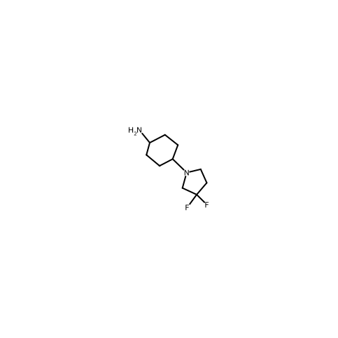 NC1CCC(N2CCC(F)(F)C2)CC1